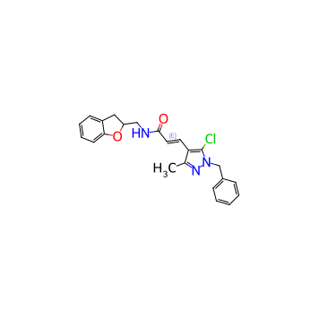 Cc1nn(Cc2ccccc2)c(Cl)c1/C=C/C(=O)NCC1Cc2ccccc2O1